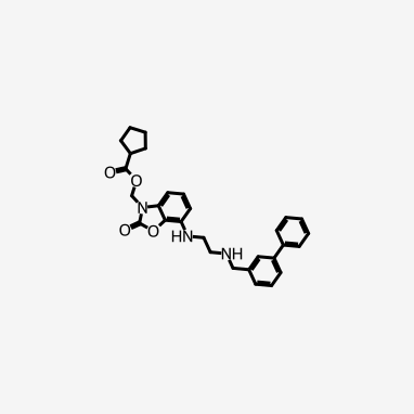 O=C(OCn1c(=O)oc2c(NCCNCc3cccc(-c4ccccc4)c3)cccc21)C1CCCC1